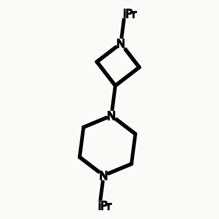 CC(C)N1CCN(C2CN(C(C)C)C2)CC1